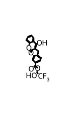 O=C(OC(O)C(F)(F)F)c1ccc(Cc2c(O)c3ccccc3oc2=O)cc1